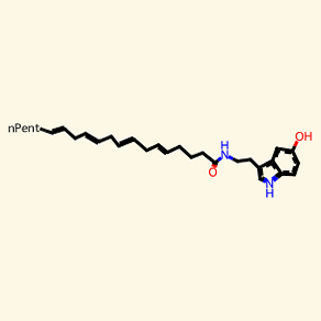 CCCCCC=CCC=CCC=CCC=CCCCC(=O)NCCc1c[nH]c2ccc(O)cc12